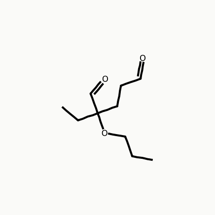 CCCOC(C=O)(CC)CCC=O